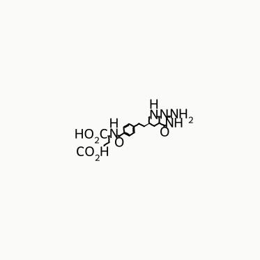 NC1=NC2NC[C@H](CCc3ccc(C(=O)N[C@@H](CCC(=O)O)C(=O)O)cc3)CC2C(=O)N1